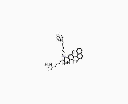 C=Nc1c(/C(=N\CCCCCN2C3COCC2C3)NCCCCC(N)CC)cc(Cl)c(-c2c(F)ccc3ccccc23)c1F